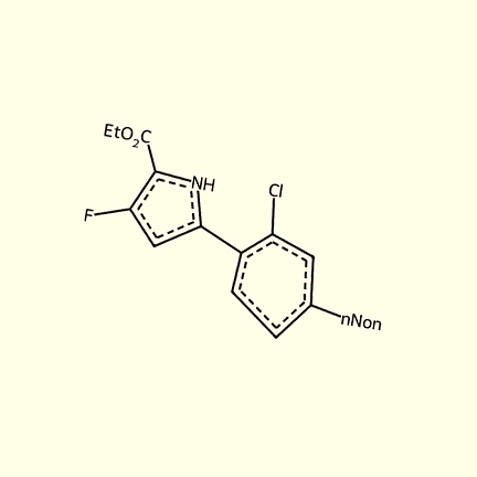 CCCCCCCCCc1ccc(-c2cc(F)c(C(=O)OCC)[nH]2)c(Cl)c1